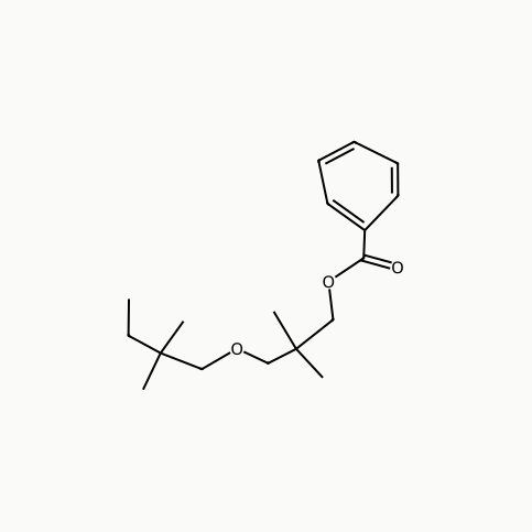 CCC(C)(C)COCC(C)(C)COC(=O)c1ccccc1